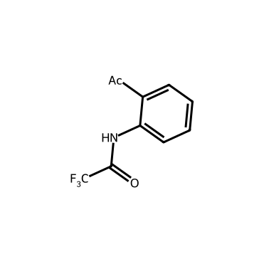 CC(=O)c1ccccc1NC(=O)C(F)(F)F